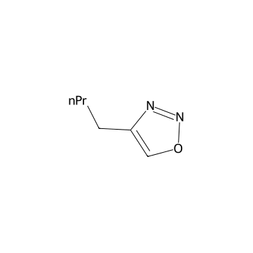 C[CH]CCc1conn1